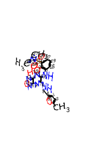 Cc1ccc(CNc2nc3nonc3nc2Nc2cccc(S(=O)(=O)N(C)C)c2O)o1